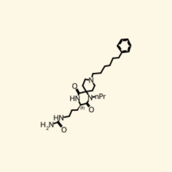 CCCN1C(=O)[C@@H](CCCNC(N)=O)NC(=O)C12CCN(CCCCCCc1ccccc1)CC2